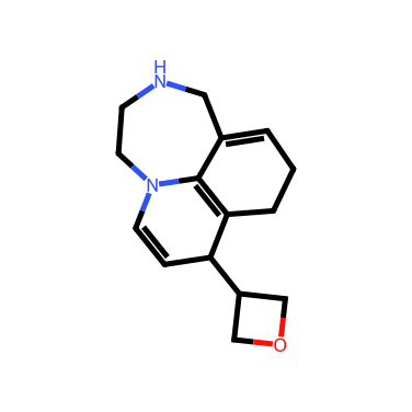 C1=CN2CCNCC3=CCCC(=C32)C1C1COC1